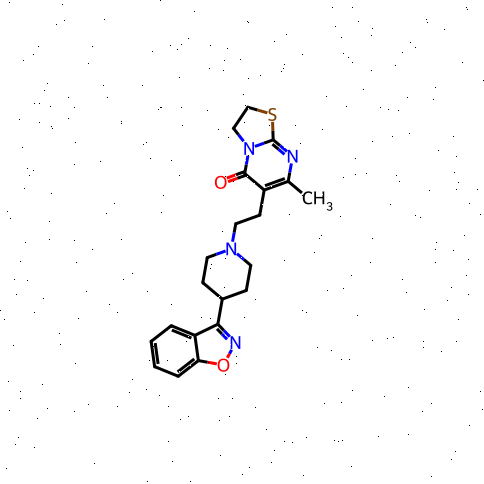 Cc1nc2n(c(=O)c1CCN1CCC(c3noc4ccccc34)CC1)CCS2